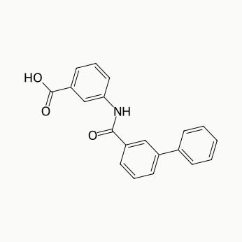 O=C(O)c1cccc(NC(=O)c2cccc(-c3ccccc3)c2)c1